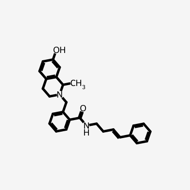 CC1c2cc(O)ccc2CCN1Cc1ccccc1C(=O)NCC/C=C/c1ccccc1